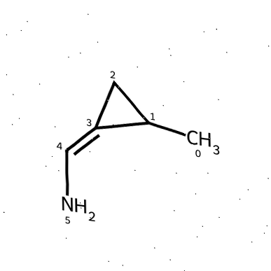 CC1C/C1=C/N